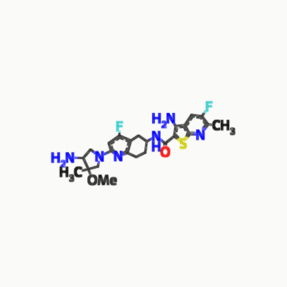 COC1(C)CN(c2cc(F)c3c(n2)CCC(NC(=O)c2sc4nc(C)c(F)cc4c2N)C3)CC1N